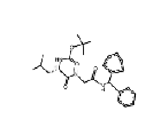 CC(C)C[C@H](NC(=O)OC(C)(C)C)C(=O)NCC(=O)NC(c1ccccc1)c1ccccc1